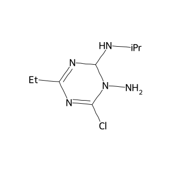 CCC1=NC(NC(C)C)N(N)C(Cl)=N1